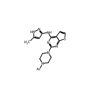 CC(=O)N1CCN(c2nc(Nc3cc(C)[nH]n3)c3ccsc3n2)CC1